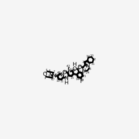 CN1C2COCC1CN(c1ccc(Nc3cc(-c4cc(F)cc(N5CCn6c(cc7c6CCCC7)C5=O)c4CO)cn(C)c3=O)nc1)C2